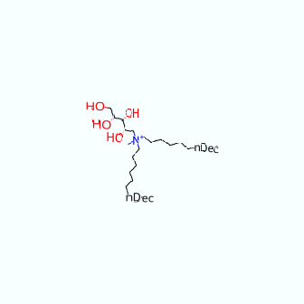 CCCCCCCCCCCCCCCC[N+](C)(CCCCCCCCCCCCCCCC)C[C@H](O)[C@@H](O)[C@H](O)CO